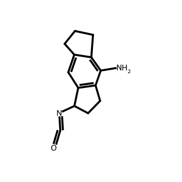 Nc1c2c(cc3c1CCC3N=C=O)CCC2